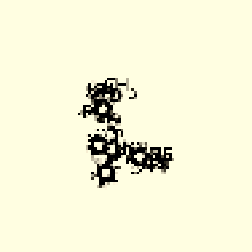 CS(=O)(=O)c1cc(OCCCN(Cc2cccc(OC(F)(F)F)c2)CC(c2ccccc2)c2ccccc2)cc(F)c1CO